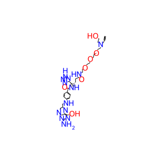 C#CCN(CCO)CCOCCOCCOCCNC(=O)CC[C@H](NC(=O)c1ccc(NCc2cnc3nc(N)nc(O)c3n2)cc1)c1nn[nH]n1